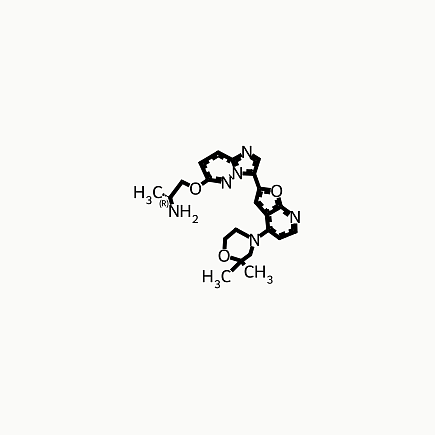 C[C@@H](N)COc1ccc2ncc(-c3cc4c(N5CCOC(C)(C)C5)ccnc4o3)n2n1